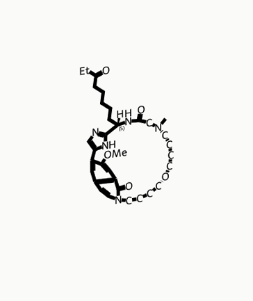 CCC(=O)CCCCC[C@@H]1NC(=O)CN(C)CCCCOCCCCn2ccc3cc(c(OC)cc3c2=O)-c2cnc1[nH]2